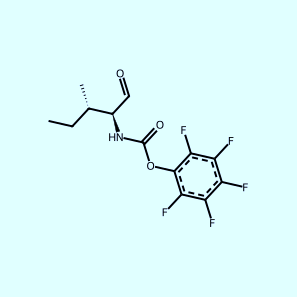 CC[C@H](C)[C@@H](C=O)NC(=O)Oc1c(F)c(F)c(F)c(F)c1F